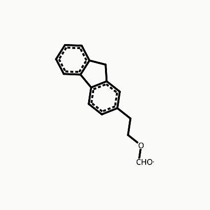 O=[C]OCCc1ccc2c(c1)Cc1ccccc1-2